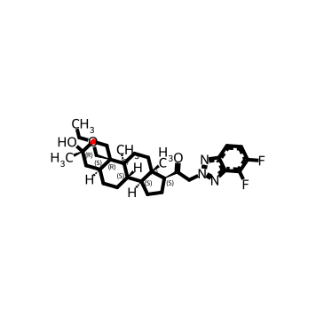 CCOC[C@]12CC[C@@](C)(O)C[C@@H]1CC[C@H]1[C@@H]3CC[C@H](C(=O)Cn4nc5ccc(F)c(F)c5n4)[C@@]3(C)CC[C@@]12C